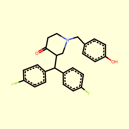 O=C1CCN(Cc2ccc(O)cc2)CC1C(c1ccc(F)cc1)c1ccc(F)cc1